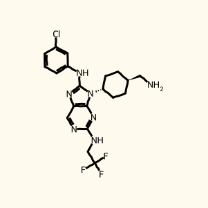 NC[C@H]1CC[C@H](n2c(Nc3cccc(Cl)c3)nc3cnc(NCC(F)(F)F)nc32)CC1